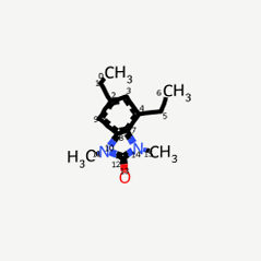 CCc1cc(CC)c2c(c1)n(C)c(=O)n2C